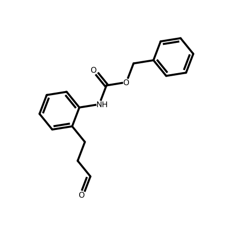 O=CCCc1ccccc1NC(=O)OCc1ccccc1